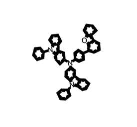 c1ccc(-n2c3ccccc3c3cc(N(c4ccc(-c5cccc6c5oc5ccccc56)cc4)c4ccc5c(c4)c4ccccc4n5-c4ccccc4)ccc32)cc1